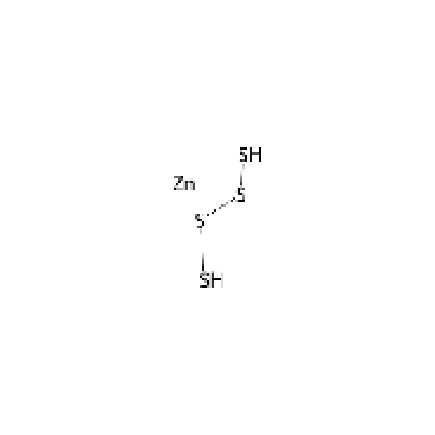 SSSS.[Zn]